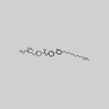 CCCCCCCCCCc1ccc(-c2ccc(OC(=O)C3CC=C(CCC=C(C)C)CC3)cc2)nc1